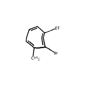 [CH2]c1cccc(CC)c1Br